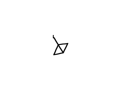 IC12CC1C2